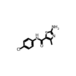 Cc1nc(N)sc1C(=O)Nc1ccc(Cl)cc1